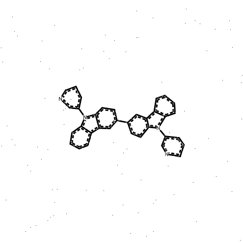 c1cncc(-n2c3ccccc3c3cc(-c4ccc5c(c4)c4ccccc4n5-c4cccnc4)ccc32)c1